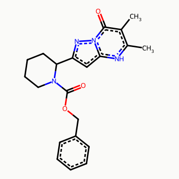 Cc1[nH]c2cc(C3CCCCN3C(=O)OCc3ccccc3)nn2c(=O)c1C